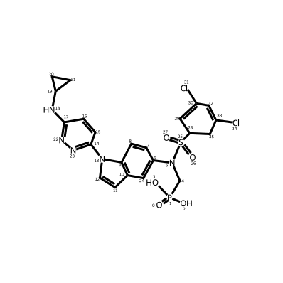 O=P(O)(O)CN(c1ccc2c(ccn2-c2ccc(NC3CC3)nn2)c1)S(=O)(=O)C1C=C(Cl)C=C(Cl)C1